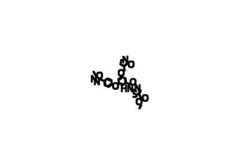 CCOC(=O)c1cnc(NC(=O)c2cc(OCC3CCN(C)C3=O)cc(Oc3ccc(-c4nnc(C)o4)cc3)c2)s1